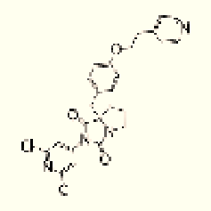 O=C1N(c2cc(Cl)nc(Cl)c2)C(=O)C2(Cc3ccc(OCCc4ccncc4)cc3)CCCN12